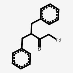 O=C([CH2][Pd])C(Cc1ccccc1)Cc1ccccc1